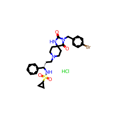 Cl.O=C1NC2(CCN(CC[C@H](NS(=O)(=O)C3CC3)c3ccccc3)CC2)C(=O)N1Cc1ccc(Br)cc1